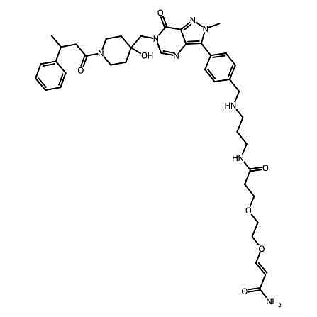 CC(CC(=O)N1CCC(O)(Cn2cnc3c(-c4ccc(CNCCCNC(=O)CCOCCOC=CC(N)=O)cc4)n(C)nc3c2=O)CC1)c1ccccc1